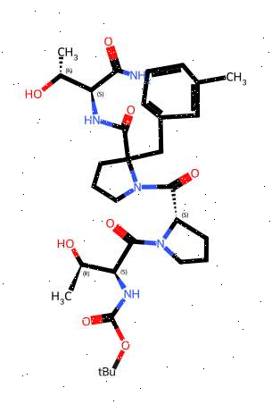 Cc1cccc(CC2(C(=O)N[C@H](C(N)=O)[C@@H](C)O)CCCN2C(=O)[C@@H]2CCCN2C(=O)[C@@H](NC(=O)OC(C)(C)C)[C@@H](C)O)c1